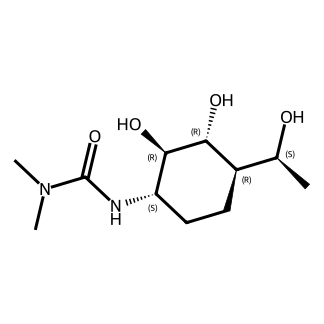 C[C@H](O)[C@H]1CC[C@H](NC(=O)N(C)C)[C@@H](O)[C@@H]1O